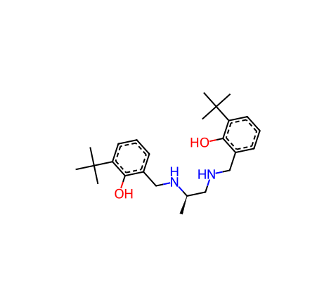 C[C@H](CNCc1cccc(C(C)(C)C)c1O)NCc1cccc(C(C)(C)C)c1O